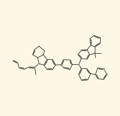 C=C/C=C\C=C(/C)N1c2ccc(-c3ccc(N(c4cccc(-c5cccnc5)c4)c4ccc5c(c4)C(C)(C)c4ccccc4-5)cc3)cc2C2CCC=CC21